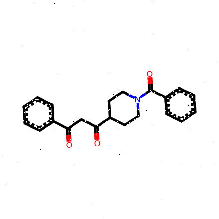 O=C(CC(=O)C1CCN(C(=O)c2ccccc2)CC1)c1ccccc1